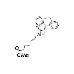 COC(=O)CCCCCCNC(=O)C=C1c2ccccc2C=Cc2ccccc21